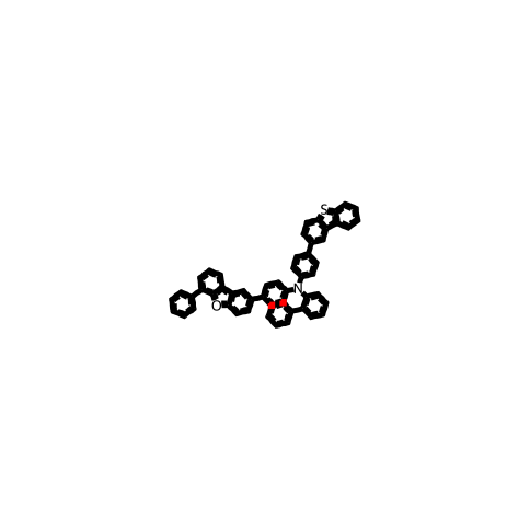 c1ccc(-c2ccccc2N(c2ccc(-c3ccc4oc5c(-c6ccccc6)cccc5c4c3)cc2)c2ccc(-c3ccc4sc5ccccc5c4c3)cc2)cc1